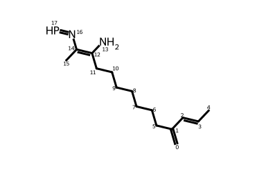 C=C(C=CC)CCCCCCC/C(N)=C(\C)N=P